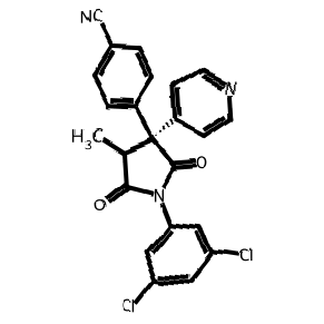 CC1C(=O)N(c2cc(Cl)cc(Cl)c2)C(=O)[C@]1(c1ccncc1)c1ccc(C#N)cc1